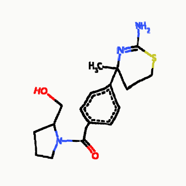 CC1(c2ccc(C(=O)N3CCCC3CO)cc2)CCSC(N)=N1